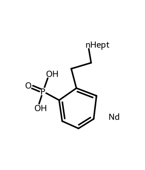 CCCCCCCCCc1ccccc1P(=O)(O)O.[Nd]